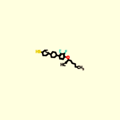 C#CC(CCCCC)Oc1ccc(C2CCC(C3CCC(S)CC3)CC2)c(F)c1F